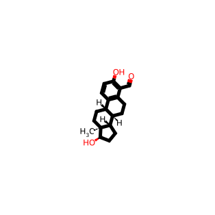 C[C@]12CC[C@@H]3c4ccc(O)c(C=O)c4CC[C@H]3[C@@H]1CC[C@H]2O